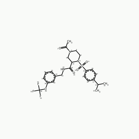 CC(=O)N1CCN(S(=O)(=O)c2ccc(C(C)C)cc2)C(C(=O)NCc2cccc(OC(F)(F)F)c2)C1